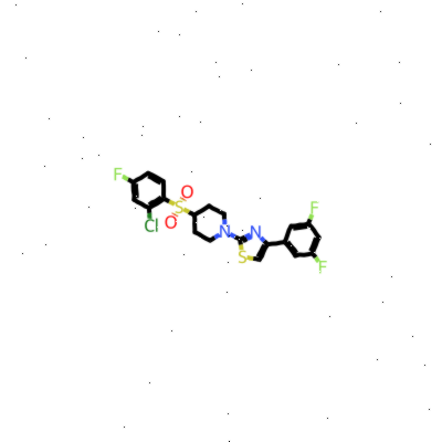 O=S(=O)(c1ccc(F)cc1Cl)C1CCN(c2nc(-c3cc(F)cc(F)c3)cs2)CC1